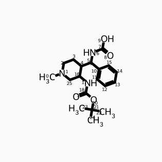 CN1CCC([C](NC(=O)O)c2ccccc2)C(NC(=O)OC(C)(C)C)C1